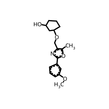 COc1cccc(-c2nc(COC3CCCC(O)C3)c(C)o2)c1